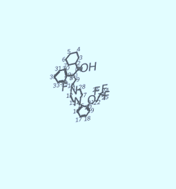 O[C@H](C1CCCCC1)[C@@H](CCN1CCN(c2ccccc2OCC(F)(F)F)CC1)c1ccccc1F